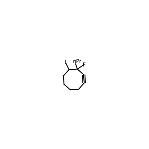 CCCC1(F)C#CCCCCC1I